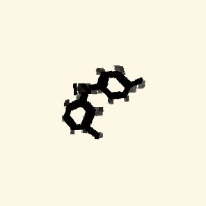 [CH2]c1cccc(Nc2ccc(C)cc2)c1